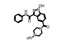 CCCN1CCN(C(=O)c2ccc3c(c2)c(C(=O)Nc2ccccc2)nn3O)CC1